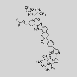 COC(=O)NC(C(=O)N1C[C@@H](COC(F)F)C[C@H]1c1nc2ccc3cc4c(cc3c2[nH]1)OCc1cc(-c2cnc([C@@H]3CC[C@H](C)N3C(=O)C(NC(=O)O)C(C)C)[nH]2)ccc1-4)C(C)C